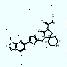 Cn1ncc2ccc(-c3ccc(CN4C(=O)C(C(=O)CCl)SC45CCNCC5)o3)cc21